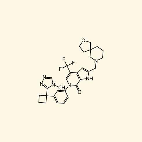 Cn1cnnc1C1(c2cccc(-n3cc(C(F)(F)F)c4cc(CN5CCCC6(CCOC6)C5)[nH]c4c3=O)c2)CCC1